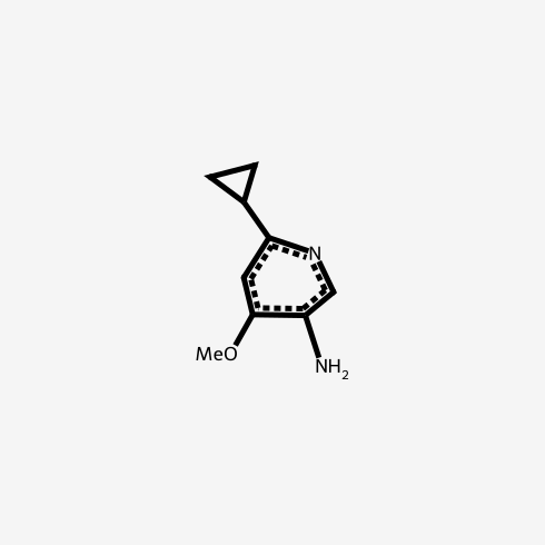 COc1cc(C2CC2)ncc1N